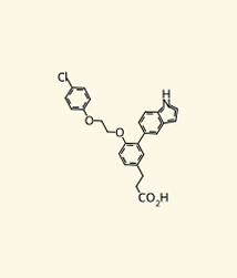 O=C(O)CCc1ccc(OCCOc2ccc(Cl)cc2)c(-c2ccc3[nH]ccc3c2)c1